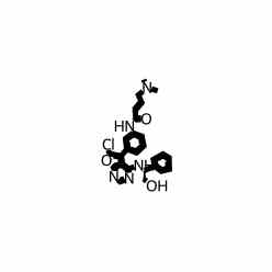 CN(C)C/C=C/C(=O)Nc1cccc(-c2c(Cl)oc3ncnc(N[C@H](CO)c4ccccc4)c23)c1